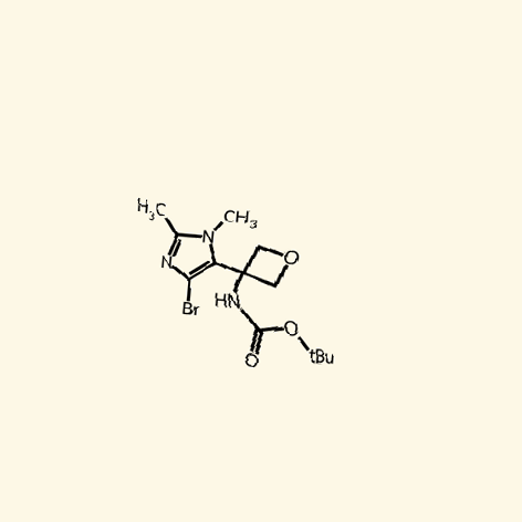 Cc1nc(Br)c(C2(NC(=O)OC(C)(C)C)COC2)n1C